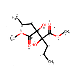 CCCC(O)(C(=O)OC)C(O)(CCC)C(=O)OC